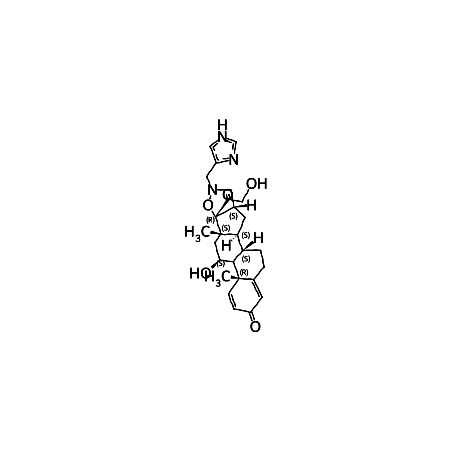 C[C@]12C=CC(=O)C=C1CC[C@@H]1C2[C@@H](O)C[C@@]2(C)[C@H]1C[C@H]1CN(Cc3c[nH]cn3)O[C@]12C(=O)CO